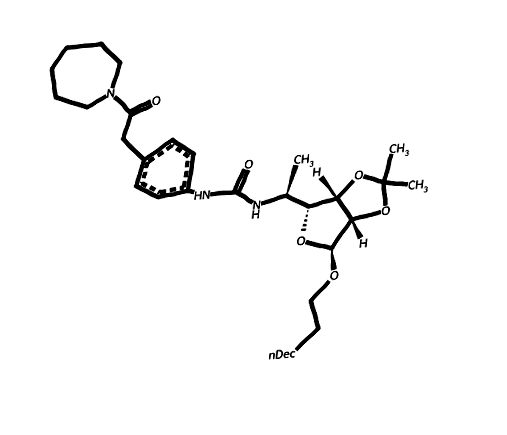 CCCCCCCCCCCCO[C@H]1O[C@H]([C@H](C)NC(=O)Nc2ccc(CC(=O)N3CCCCCC3)cc2)[C@@H]2OC(C)(C)O[C@H]12